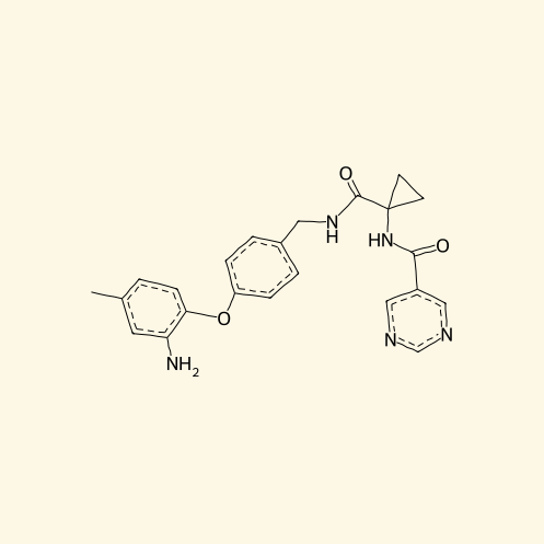 Cc1ccc(Oc2ccc(CNC(=O)C3(NC(=O)c4cncnc4)CC3)cc2)c(N)c1